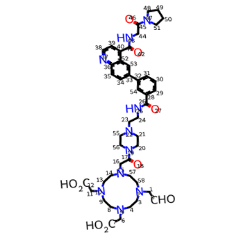 O=CCN1CCN(CC(=O)O)CCN(CC(=O)O)CCN(CC(=O)N2CCN(CCNC(=O)c3cccc(-c4ccc5nccc(C(=O)NCC(=O)N6CCCC6)c5c4)c3)CC2)CC1